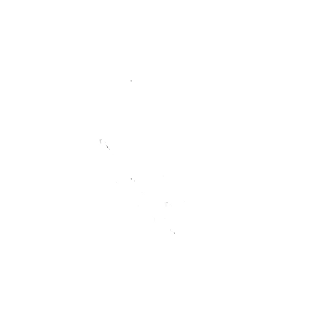 CC1(C)C[C@@H](Nc2ccc(O)cc2)CCN1C(=O)C(=O)NC(=O)[C@H](CC1CCCC1)CN(O)C=O